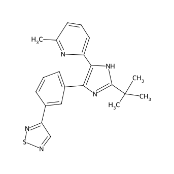 Cc1cccc(-c2[nH]c(C(C)(C)C)nc2-c2cccc(-c3cnsn3)c2)n1